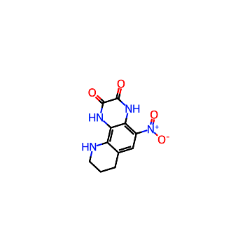 O=c1[nH]c2c([N+](=O)[O-])cc3c(c2[nH]c1=O)NCCC3